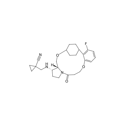 N#CC1(CN[C@H]2CCN3C(=O)CCOc4cccc(F)c4C4CCC(CC4)OC[C@@H]23)CC1